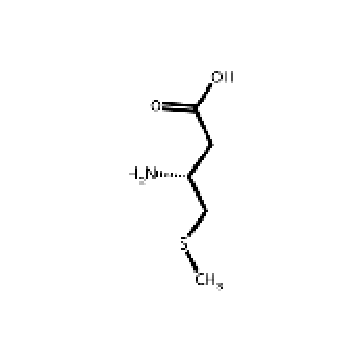 CSC[C@H](N)CC(=O)O